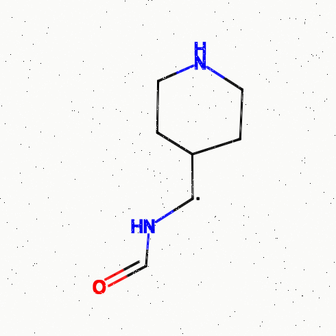 O=CN[CH]C1CCNCC1